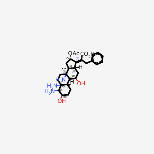 CC(=O)O[C@H]1C[C@@]2(C)[C@@H](C[C@@H](O)[C@@H]3[C@]2(N)CC[C@@]2(N)[C@H](N)[C@H](O)CC[C@]32C)/C1=C(\Cc1ccccc1)C(=O)O